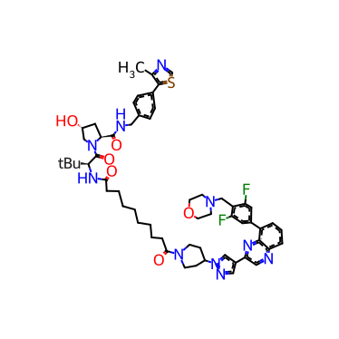 Cc1ncsc1-c1ccc(CNC(=O)[C@@H]2C[C@@H](O)CN2C(=O)[C@@H](NC(=O)CCCCCCCCC(=O)N2CCC(n3cc(-c4cnc5cccc(-c6cc(F)c(CN7CCOCC7)c(F)c6)c5n4)cn3)CC2)C(C)(C)C)cc1